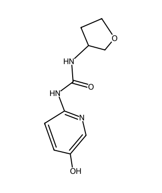 O=C(Nc1ccc(O)cn1)NC1CCOC1